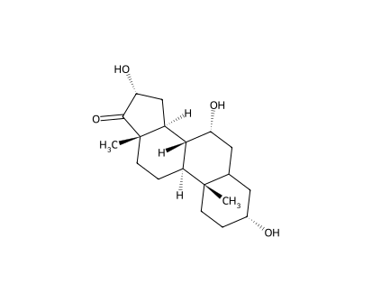 C[C@]12CC[C@@H](O)CC1C[C@@H](O)[C@@H]1[C@@H]2CC[C@]2(C)C(=O)[C@H](O)C[C@@H]12